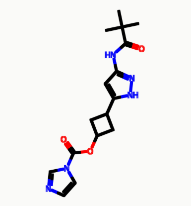 CC(C)(C)C(=O)Nc1cc(C2CC(OC(=O)n3ccnc3)C2)[nH]n1